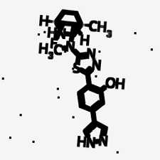 CN(c1nnc(-c2ccc(-c3cn[nH]c3)cc2O)s1)[C@@H]1C(F)[C@@H]2CC[C@@]1(C)CN2